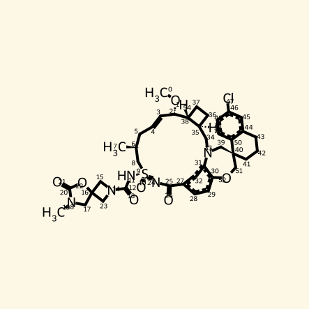 CO[C@H]1/C=C/C[C@H](C)C[S@@](=O)(NC(=O)N2CC3(CN(C)C(=O)O3)C2)=NC(=O)c2ccc3c(c2)N(C[C@@H]2CC[C@H]21)C[C@@]1(CCCc2cc(Cl)ccc21)CO3